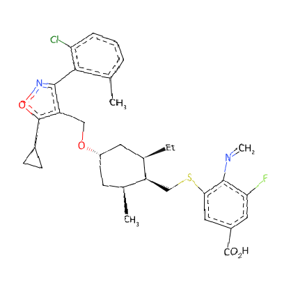 C=Nc1c(F)cc(C(=O)O)cc1SC[C@@H]1[C@H](CC)C[C@@H](OCc2c(-c3c(C)cccc3Cl)noc2C2CC2)C[C@@H]1C